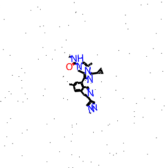 CNC(=O)N1Cc2c(-c3cc(C)cc4cc(-c5cnn(C)c5)ncc34)nc(C3CC3)n2C(C)C1